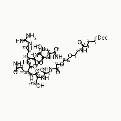 CCCCCCCCCCCCCC(=O)NCCOCCOCC(=O)NCC(=O)N[C@H](C(=O)N[C@@H](CCC(N)=O)C(=O)N[C@@H](CCCNC(=N)N)C(=O)N[C@@H](CO)C(=O)N[C@@H](CCCC)C(N)=O)[C@@H](C)O